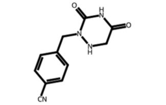 N#Cc1ccc(CN2NCC(=O)NC2=O)cc1